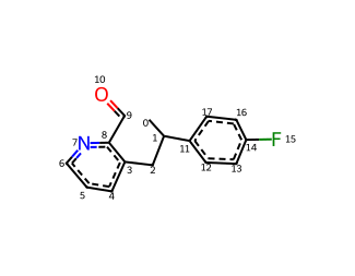 CC(Cc1cccnc1C=O)c1ccc(F)cc1